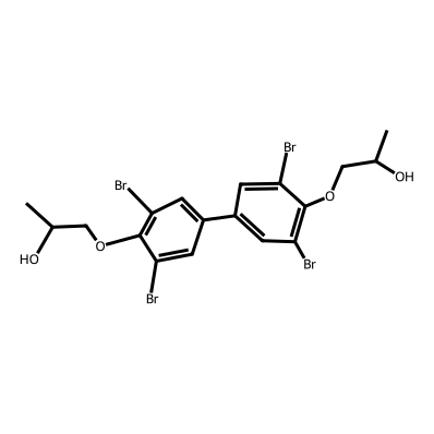 CC(O)COc1c(Br)cc(-c2cc(Br)c(OCC(C)O)c(Br)c2)cc1Br